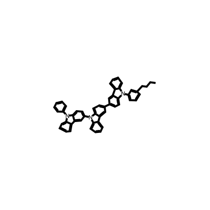 CCCCc1cccc(-n2c3ccccc3c3cc(-c4ccc5c(c4)c4ccccc4n5-c4ccc5c(c4)c4ccccc4n5-c4ccccc4)ccc32)c1